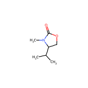 CC(C)C1COC(=O)N1C